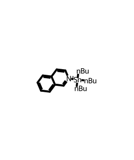 CCC[CH2][Sn]([CH2]CCC)([CH2]CCC)[n+]1ccc2ccccc2c1